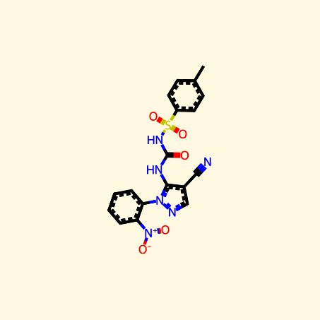 Cc1ccc(S(=O)(=O)NC(=O)Nc2c(C#N)cnn2-c2ccccc2[N+](=O)[O-])cc1